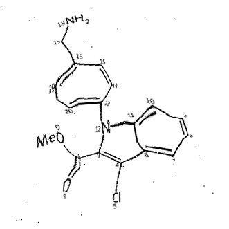 COC(=O)c1c(Cl)c2ccccc2n1-c1ccc(CN)cc1